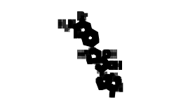 Cc1ncnc2c1ccn2[C@@H]1C[C@@]2(CN[C@H](c3ccc4cc(Br)c(N)nc4c3)C2)[C@@H](O)[C@H]1O